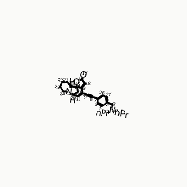 CCCN(CCC)Cc1ccc(C#CC2=C[C@@H]3C[C@@]4(OC(=O)C=C24)[C@H]2CCCCN32)cc1